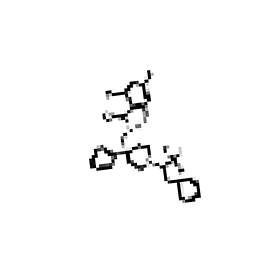 O=C(NCC1(c2ccccc2)CCN(C(Cc2ccccc2)C(F)(F)F)CC1)c1c(F)cc(F)cc1F